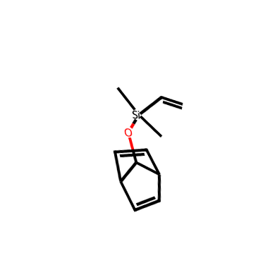 C=C[Si](C)(C)OC1C2C=CC1C=C2